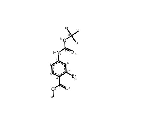 COC(=O)c1ccc(NC(=O)OC(C)(C)C)cc1Br